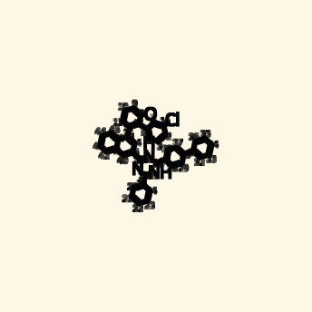 Clc1cccc2c1oc1cccc(-c3cc(C4=NC(c5ccccc5)NC(c5ccc(-c6ccccc6)cc5)N4)cc4ccccc34)c12